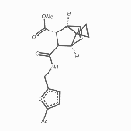 COC(=O)[C@H]1C(C(=O)NCc2ccc(C(C)=O)o2)[C@@H]2C=C[C@H]1C21CC1